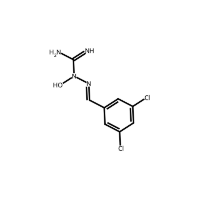 N=C(N)N(O)/N=C/c1cc(Cl)cc(Cl)c1